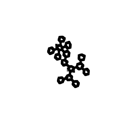 c1ccc(-c2cc(-c3ccccc3)cc(-c3cc(-c4cccc(-c5cccc(-c6c(-c7ccccc7)c(-c7ccccc7)nc(-c7ccccc7)c6-c6ccccc6)c5)c4)nc(-c4cc(-c5ccccc5)cc(-c5ccccc5)c4)n3)c2)cc1